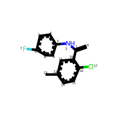 C=C(Nc1ccc(F)cc1)c1cc(C)ccc1Cl